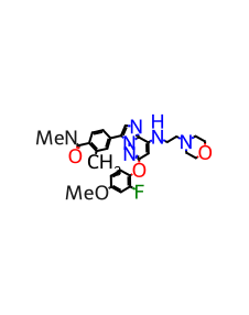 CNC(=O)c1ccc(-c2cnc3c(NCCN4CCOCC4)cc(Oc4ccc(OC)cc4F)nn23)cc1C